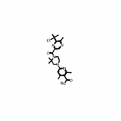 CCC(C)C(=O)c1c(C)cc(N2CCN(C(=O)c3cnc(C)c(C(C)(C)CC)n3)C(C)(C)C2)nc1C